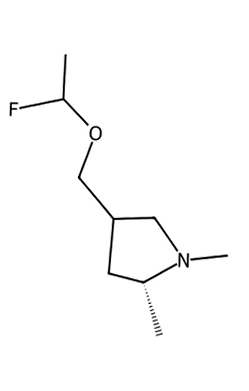 CC(F)OCC1C[C@@H](C)N(C)C1